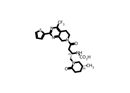 C[C@@H]1CCC(=O)N(C[C@H](CC(=O)N2CCc3c(nc(-c4cccs4)nc3C(F)(F)F)C2)NC(=O)O)C1